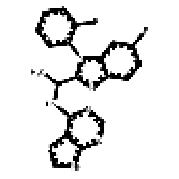 CC(Nc1ncnc2[nH]cnc12)c1nc2ccc(F)cc2n1-c1ccccc1F